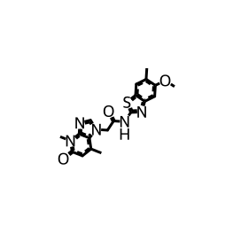 COc1cc2nc(NC(=O)Cn3cnc4c3c(C)cc(=O)n4C)sc2cc1C